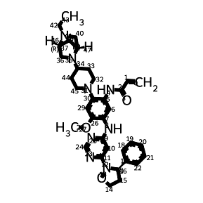 C=CC(=O)Nc1cc(Nc2cc(N3OCC[C@@H]3c3ccccc3)ncn2)c(OC)cc1N1CCC(N2C[C@H]3C[C@@H]2CN3CC)CC1